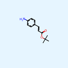 CC(C)(C)OC(=O)C=Cc1ccc(N)cc1